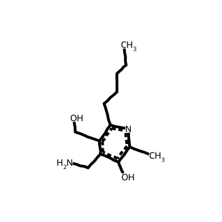 CCCCCc1nc(C)c(O)c(CN)c1CO